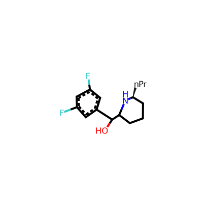 CCC[C@H]1CCCC(C(O)c2cc(F)cc(F)c2)N1